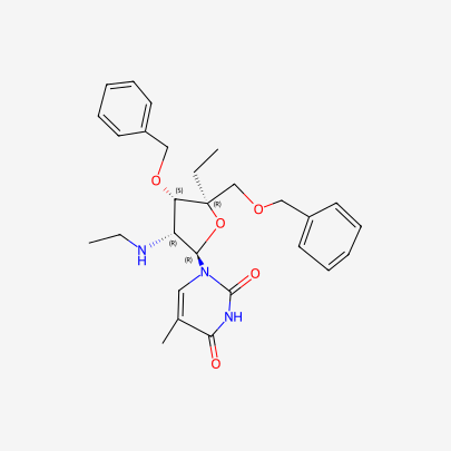 CCN[C@H]1[C@H](n2cc(C)c(=O)[nH]c2=O)O[C@](CC)(COCc2ccccc2)[C@H]1OCc1ccccc1